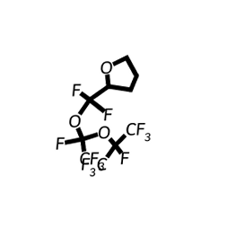 FC(F)(OC(F)(OC(F)(C(F)(F)F)C(F)(F)F)C(F)(F)F)C1CCCO1